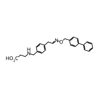 O=C(O)CCNCc1ccc(CC=NOCc2ccc(-c3ccccc3)cc2)cc1